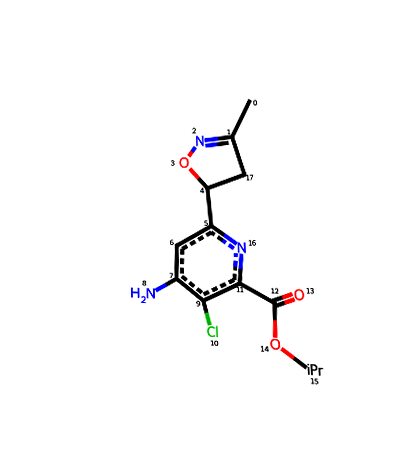 CC1=NOC(c2cc(N)c(Cl)c(C(=O)OC(C)C)n2)C1